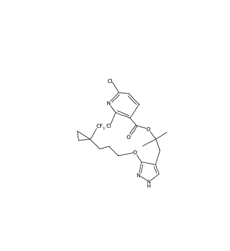 CC(C)(Cc1c[nH]nc1OCCCC1(C(F)(F)F)CC1)OC(=O)c1ccc(Cl)nc1Cl